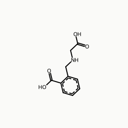 O=C(O)CNCc1ccccc1C(=O)O